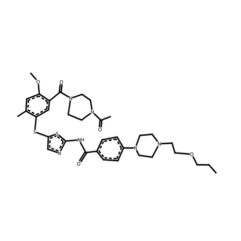 CCCOCCN1CCN(c2ccc(C(=O)Nc3ncc(Sc4cc(C(=O)N5CCN(C(C)=O)CC5)c(OC)cc4C)s3)cc2)CC1